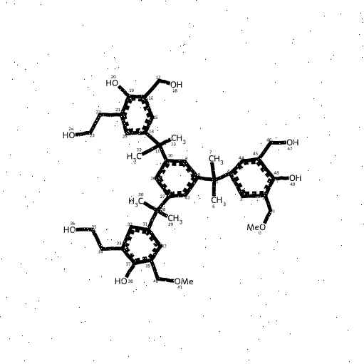 COCc1cc(C(C)(C)c2cc(C(C)(C)c3cc(CO)c(O)c(CCO)c3)cc(C(C)(C)c3cc(CCO)c(O)c(COC)c3)c2)cc(CO)c1O